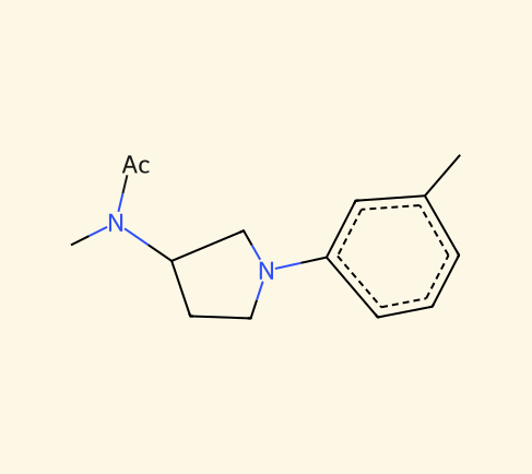 CC(=O)N(C)C1CCN(c2cccc(C)c2)C1